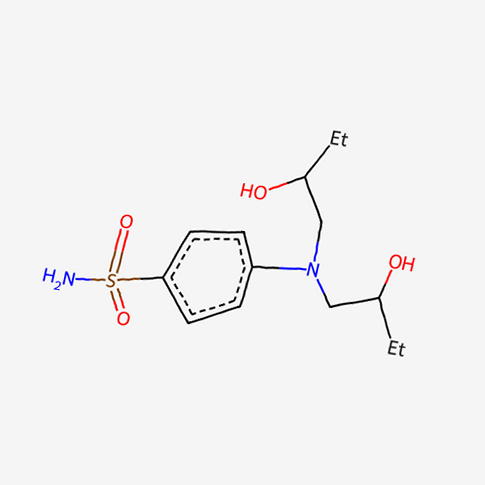 CCC(O)CN(CC(O)CC)c1ccc(S(N)(=O)=O)cc1